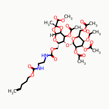 C=CCCCOC(=O)NCCNC(=O)OC[C@@H]1O[C@@H]2O[C@](C)(C(=O)OC)OC2C(OC(C)=O)[C@@H]1O[C@@H]1OC(COC(C)=O)[C@H](OC(C)=O)[C@H](OC(C)=O)C1OC(C)=O